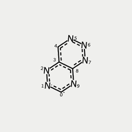 [c]1nnc2cnnnc2n1